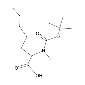 CCCCCC(C(=O)O)N(C)C(=O)OC(C)(C)C